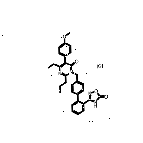 CCCc1nc(CC)c(-c2ccc(OC)cc2)c(=O)n1Cc1ccc(-c2ccccc2-c2noc(=O)[nH]2)cc1.[KH]